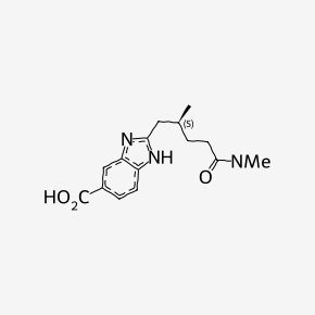 CNC(=O)CC[C@H](C)Cc1nc2cc(C(=O)O)ccc2[nH]1